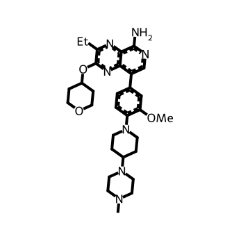 CCc1nc2c(N)ncc(-c3ccc(N4CCC(N5CCN(C)CC5)CC4)c(OC)c3)c2nc1OC1CCOCC1